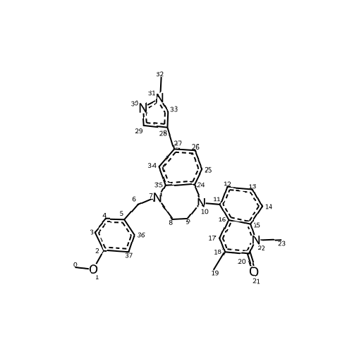 COc1ccc(CN2CCN(c3cccc4c3cc(C)c(=O)n4C)c3ccc(-c4cnn(C)c4)cc32)cc1